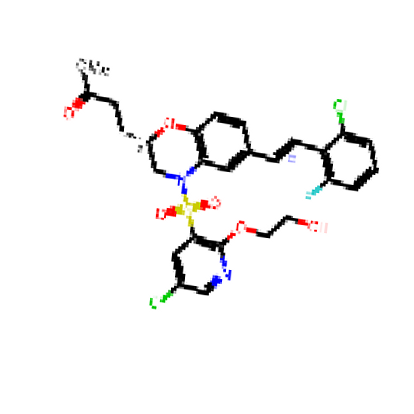 COC(=O)CC[C@H]1CN(S(=O)(=O)c2cc(Cl)cnc2OCCO)c2cc(/C=C/c3c(F)cccc3Cl)ccc2O1